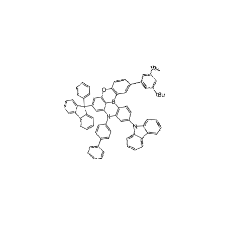 CC(C)(C)c1cc(-c2ccc3c(c2)B2c4ccc(-n5c6ccccc6c6ccccc65)cc4N(c4ccc(-c5ccccc5)cc4)c4cc(C5(c6ccccc6)c6ccccc6-c6ccccc65)cc(c42)O3)cc(C(C)(C)C)c1